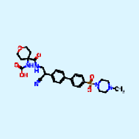 CN1CCN(S(=O)(=O)c2ccc(-c3ccc(C(C#N)CNC(=O)C4(NC(=O)O)CCOCC4)cc3)cc2)CC1